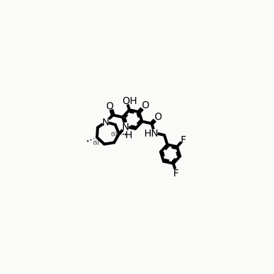 C[C@H]1CC[C@H]2CN(C1)C(=O)c1c(O)c(=O)c(C(=O)NCc3ccc(F)cc3F)cn12